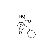 O=C(O)C1=C(CC2CCCCC2)C23OC2(CC1)O3